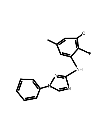 Cc1cc(O)c(F)c(Nc2ncn(-c3ccccc3)n2)c1